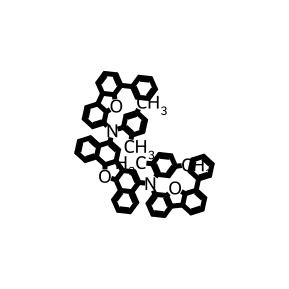 Cc1ccc(C)c(N(C2=CC3C(OC4c5ccccc5C(N(c5cc(C)ccc5C)c5cccc6c5OC5C(c7ccccc7)=CC=CC65)=CC43)c3ccccc32)C2=CC=CC3C2OC2C(c4ccccc4)=CC=CC23)c1